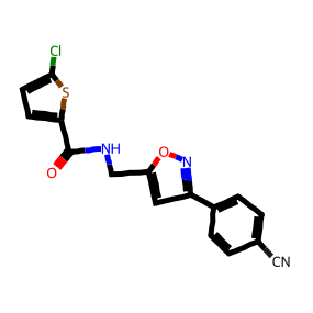 N#Cc1ccc(-c2cc(CNC(=O)c3ccc(Cl)s3)on2)cc1